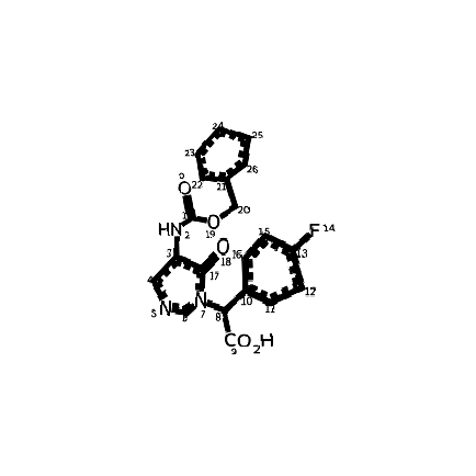 O=C(Nc1cncn(C(C(=O)O)c2ccc(F)cc2)c1=O)OCc1ccccc1